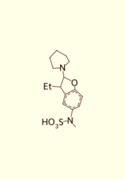 CCC1c2cc(N(C)S(=O)(=O)O)ccc2OC1N1CCCCC1